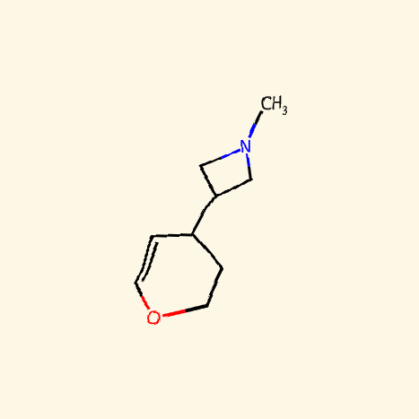 CN1CC(C2C=COCC2)C1